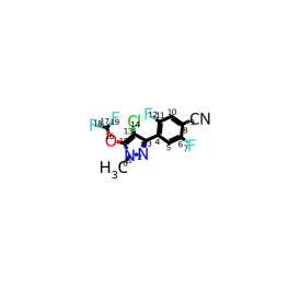 Cn1nc(-c2cc(F)c(C#N)cc2F)c(Cl)c1OC(F)F